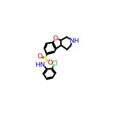 O=S(=O)(Nc1ccccc1Cl)c1ccc2c(c1)C1CCNCC1O2